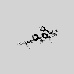 C=C(N(CC1CCOCC1)c1ccc([S+]([O-])c2ccnc(OCCCN(C)C)c2)cc1N)C(C)(C)C